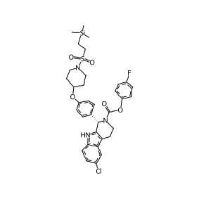 C[Si](C)(C)CCS(=O)(=O)N1CCC(Oc2ccc([C@H]3c4[nH]c5ccc(Cl)cc5c4CCN3C(=O)Oc3ccc(F)cc3)cc2)CC1